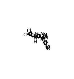 Nc1ncnc2c1c(-c1ccc3nc(Cc4ccc(Cl)c(Cl)c4)[nH]c3c1)nn2[C@H]1CC[C@H](N2CCOCC2)CC1